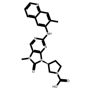 Cc1cc2ncccc2cc1Nc1ncc2c(n1)n([C@H]1CCN(C(=O)O)C1)c(=O)n2C